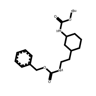 CC(C)(C)OC(=O)NC1CCCC(CCNC(=O)OCc2ccccc2)C1